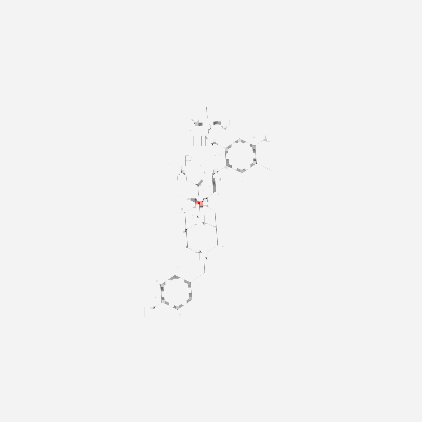 Cc1cc(C=CC(=O)N2C3CN(Cc4ccc(F)cc4)CC2CN(C(=O)OC(C)(C)C)C3)c(NS(C)(=O)=O)cc1Cl